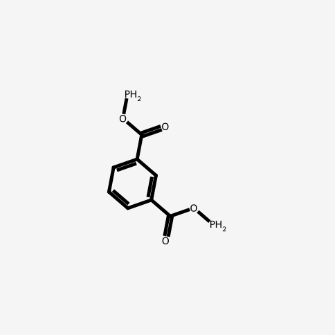 O=C(OP)c1cccc(C(=O)OP)c1